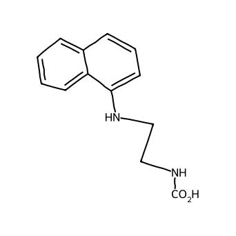 O=C(O)NCCNc1cccc2ccccc12